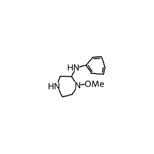 CON1CCNCC1Nc1ccccc1